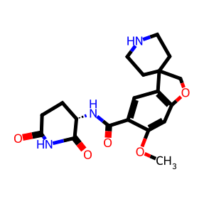 COc1cc2c(cc1C(=O)N[C@H]1CCC(=O)NC1=O)C1(CCNCC1)CO2